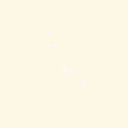 O=C(NC1CCC(Cn2c(=O)n(-c3ccc(O[C@H]4CCOC4)nc3)c3ccccc32)CC1)c1cc(Cl)cnc1C(F)(F)F